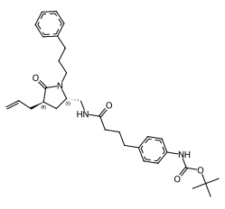 C=CC[C@@H]1C[C@@H](CNC(=O)CCCc2ccc(NC(=O)OC(C)(C)C)cc2)N(CCCc2ccccc2)C1=O